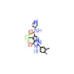 Cc1ccc(-c2nn3cc(C(=O)N[C@@H]4CCN(C)C4)c(C(F)(F)F)c3c(=O)[nH]2)cc1C